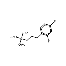 CC(=O)O[Si](CCCc1ccc(F)cc1F)(OC(C)=O)OC(C)=O